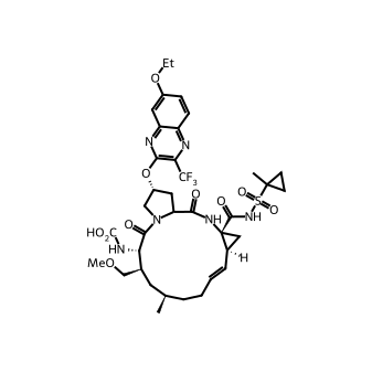 CCOc1ccc2nc(C(F)(F)F)c(O[C@@H]3CC4C(=O)N[C@]5(C(=O)NS(=O)(=O)C6(C)CC6)C[C@H]5/C=C/CC[C@@H](C)C[C@@H](COC)[C@H](NC(=O)O)C(=O)N4C3)nc2c1